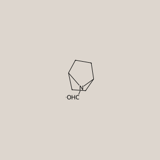 O=[C]N1C2CCC1CC2